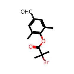 Cc1cc(C=O)cc(C)c1OC(=O)C(C)(C)Br